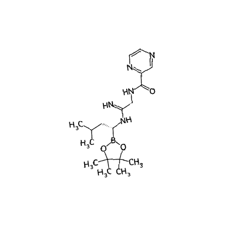 CC(C)C[C@H](NC(=N)CNC(=O)c1cnccn1)B1OC(C)(C)C(C)(C)O1